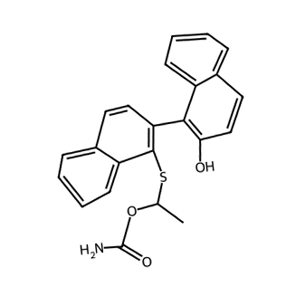 CC(OC(N)=O)Sc1c(-c2c(O)ccc3ccccc23)ccc2ccccc12